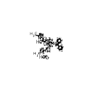 CCc1nc([C@H]2O[C@@H](n3cnc4c(NCC(c5ccccc5)c5ccccc5)nc(NCCc5cn(C)cn5)nc43)[C@H](O)[C@@H]2O)no1.O=CO